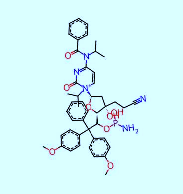 COc1ccc(C(c2ccccc2)(c2ccc(OC)cc2)C(OP(N)O)[C@H]2O[C@@H]([N+]3(C(C)C)C=CC(N(C(=O)c4ccccc4)C(C)C)=NC3=O)C[C@@]2(O)CCC#N)cc1